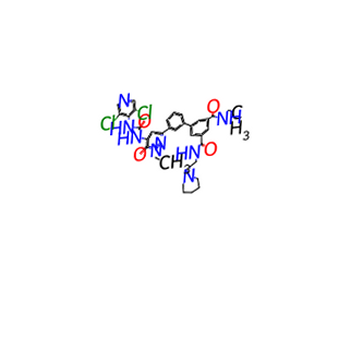 CCNC(=O)c1cc(C(=O)NCCN2CCCCC2)cc(-c2cccc(-c3cc(NC(=O)Nc4c(Cl)cncc4Cl)c(=O)n(CC)n3)c2)c1